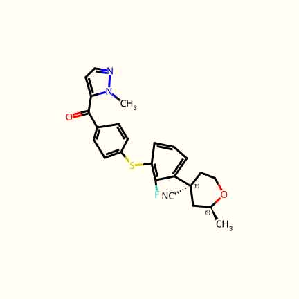 C[C@H]1C[C@@](C#N)(c2cccc(Sc3ccc(C(=O)c4ccnn4C)cc3)c2F)CCO1